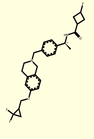 C[C@H](NC(=O)C1CC(F)C1)c1ccc(CN2CCc3cc(OCC4CC4(F)F)ccc3C2)cc1